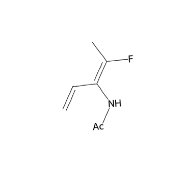 C=C/C(NC(C)=O)=C(\C)F